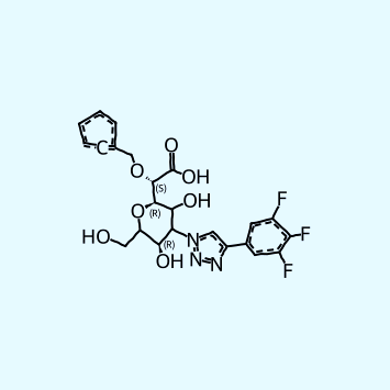 O=C(O)[C@@H](OCc1ccccc1)[C@@H]1OC(CO)[C@H](O)C(n2cc(-c3cc(F)c(F)c(F)c3)nn2)C1O